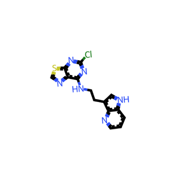 Clc1nc(NCCc2c[nH]c3cccnc23)c2ncsc2n1